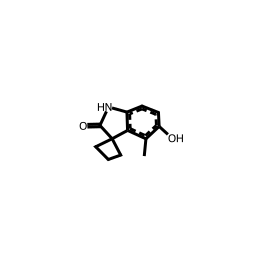 Cc1c(O)ccc2c1C1(CCC1)C(=O)N2